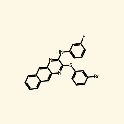 Fc1cccc(Nc2nc3cc4ccccc4cc3nc2Sc2cccc(Br)c2)c1